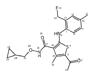 CC(=O)c1sc(Nc2ccc(C)cc2CF)c(C(=O)NOCC2CC2)c1C